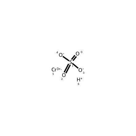 O=S(=O)([O-])[O-].[Cr+3].[H+]